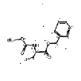 CC(C)(C)OC(=O)N[C@H](CF)C(=O)OCc1ccccc1